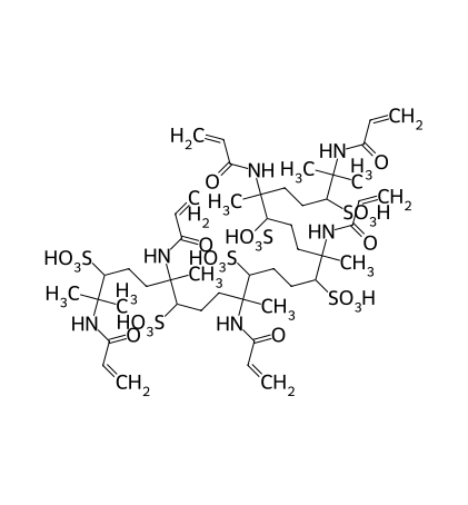 C=CC(=O)NC(C)(C)C(CCC(C)(NC(=O)C=C)C(CCC(C)(NC(=O)C=C)C(CCC(C(C)(CCC(C(C)(CCC(C(C)(C)NC(=O)C=C)S(=O)(=O)O)NC(=O)C=C)S(=O)(=O)O)NC(=O)C=C)S(=O)(=O)O)S(=O)(=O)O)S(=O)(=O)O)S(=O)(=O)O